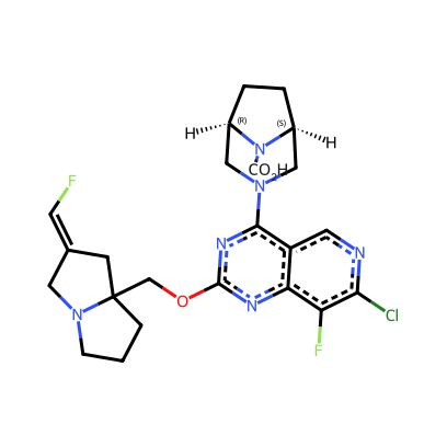 O=C(O)N1[C@@H]2CC[C@H]1CN(c1nc(OCC34CCCN3CC(=CF)C4)nc3c(F)c(Cl)ncc13)C2